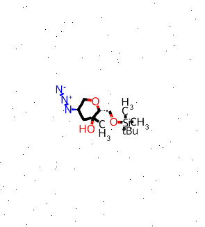 CC1(O)C[C@@H](N=[N+]=[N-])CO[C@@H]1CO[Si](C)(C)C(C)(C)C